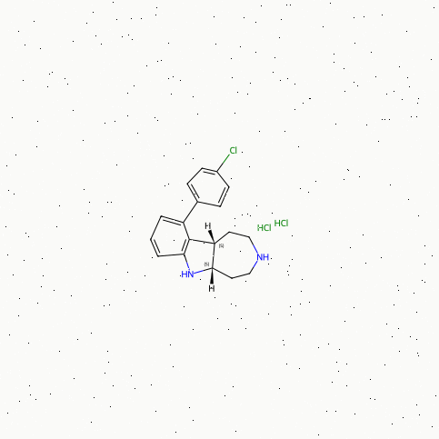 Cl.Cl.Clc1ccc(-c2cccc3c2[C@@H]2CCNCC[C@@H]2N3)cc1